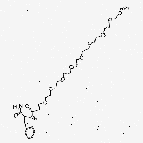 CCCOCCOCCOCCOCCOCCOCCOCCOCCOCCC(=O)N[C@@H](Cc1ccccc1)C(N)=O